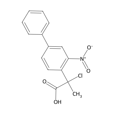 CC(Cl)(C(=O)O)c1ccc(-c2ccccc2)cc1[N+](=O)[O-]